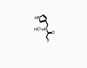 Cl.O=C(CF)NCc1cc[nH]c1